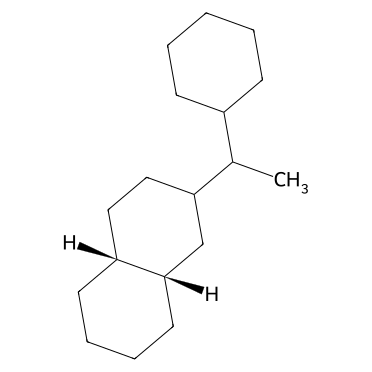 CC(C1CCCCC1)C1CC[C@H]2CCCC[C@H]2C1